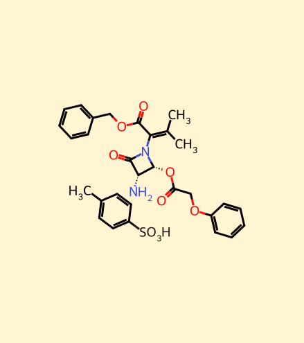 CC(C)=C(C(=O)OCc1ccccc1)N1C(=O)[C@@H](N)[C@H]1OC(=O)COc1ccccc1.Cc1ccc(S(=O)(=O)O)cc1